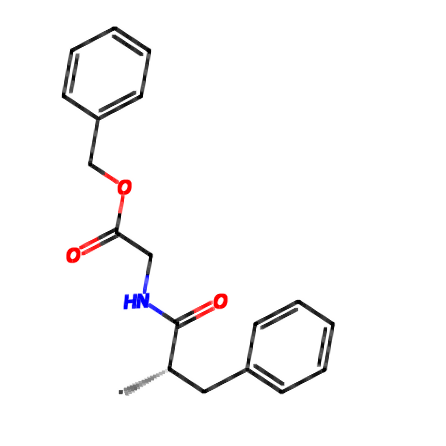 [CH2][C@@H](Cc1ccccc1)C(=O)NCC(=O)OCc1ccccc1